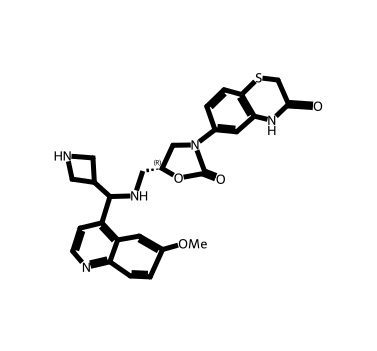 COc1ccc2nccc(C(NC[C@@H]3CN(c4ccc5c(c4)NC(=O)CS5)C(=O)O3)C3CNC3)c2c1